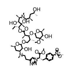 CC[C@@H](OC(=O)[C@H](C)[C@@H](O[C@H]1C[C@@](C)(OC)[C@@H](O)[C@H](C)O1)[C@H](C)CO[C@@H]1O[C@H](C)C[C@H](N(C)CCc2cn([C@@H](Cc3ccc([N+](=O)[O-])cc3)C(=O)OC)nn2)[C@H]1O)[C@@](C)(O)[C@H](O)[C@@H](C)N(C)C[C@H](C)C[C@@H](C)O